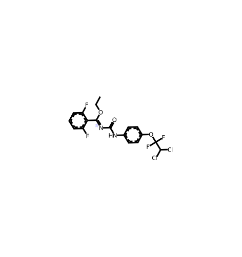 CCO/C(=N\C(=O)Nc1ccc(OC(F)(F)C(Cl)Cl)cc1)c1c(F)cccc1F